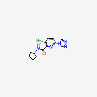 O=C(NC1CCCC1)c1nc(-n2cnnc2)ccc1Br